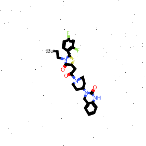 CC(C)(C)CCN1C(=O)C(CC(=O)N2CCC(N3Cc4ccccc4NC3=O)CC2)SC1c1ccc(F)cc1F